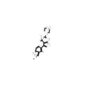 Cn1cc2c(Cl)c(-c3c[nH]c4nc(N5CCNCC5)n(C)c(=O)c34)ccc2n1